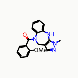 COc1ccccc1C(=O)N1Cc2cnn(C)c2Nc2ccccc21